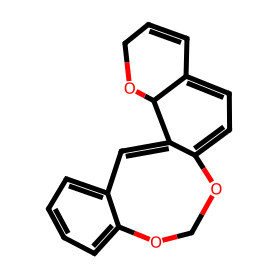 C1=CC2=CC=C3OCOc4ccccc4/C=C\3C2OC1